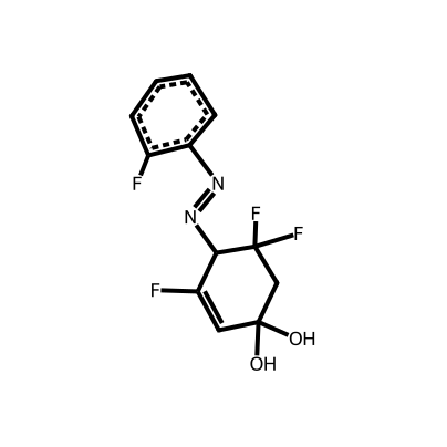 OC1(O)C=C(F)C(N=Nc2ccccc2F)C(F)(F)C1